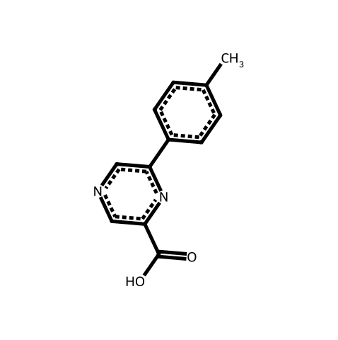 Cc1ccc(-c2cncc(C(=O)O)n2)cc1